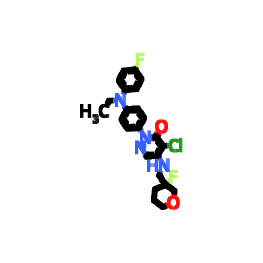 CCN(c1ccc(F)cc1)c1ccc(-n2ncc(NC[C@@]3(F)CCCOC3)c(Cl)c2=O)cc1